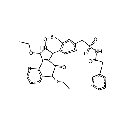 CCOC1C(=O)C2=C(c3ncccc31)C(OCC)[NH+]([O-])C2c1ccc(CS(=O)(=O)NC(=O)Cc2ccccc2)cc1Br